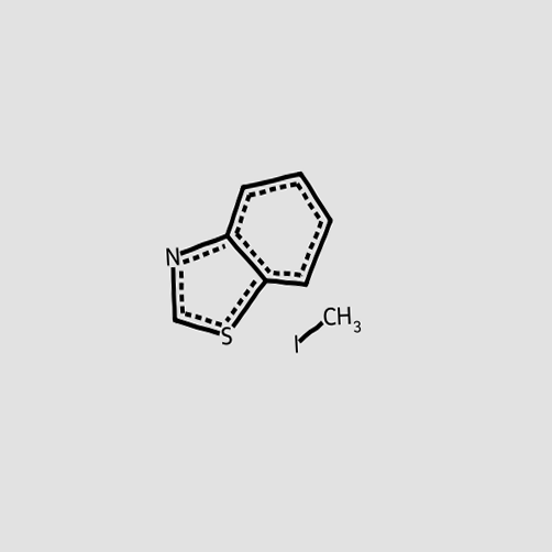 CI.c1ccc2scnc2c1